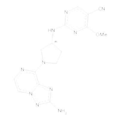 COc1nc(N[C@@H]2CCN(c3nccn4nc(N)nc34)C2)ncc1C#N